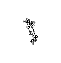 Cn1cc2c3c(c[nH]c3c1=O)CN(c1ncc(F)cc1F)c1cc(C(=O)NCCCCCCCN(C(=O)OCC(C)(C)SS(C)(=O)=O)c3cccc4c3CN([C@@H]3CCC(=O)NC3=O)C4=O)c(CS(C)(=O)=O)cc1-2